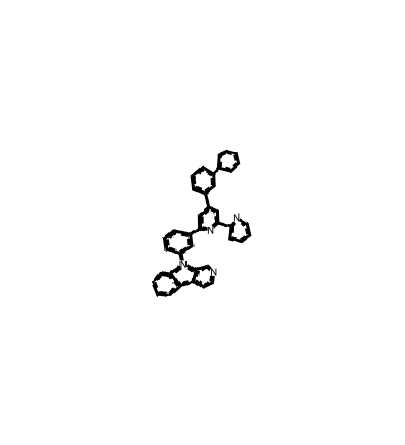 c1ccc(-c2cccc(-c3cc(-c4cccc(-n5c6ccccc6c6ccncc65)c4)nc(-c4ccccn4)c3)c2)cc1